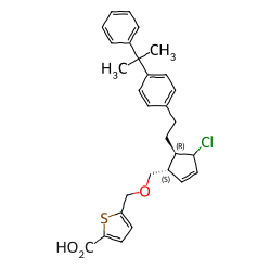 CC(C)(c1ccccc1)c1ccc(CC[C@H]2C(Cl)C=C[C@@H]2COCc2ccc(C(=O)O)s2)cc1